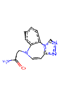 NC(=O)CN1C=Cc2nncn2-c2ccccc21